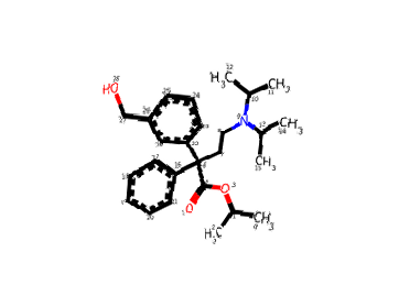 CC(C)OC(=O)C(CCN(C(C)C)C(C)C)(c1ccccc1)c1cccc(CO)c1